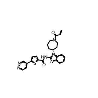 C=CC(=O)N1CCC[C@@H](n2c(NC(=O)c3ccc(-c4ccnnc4)s3)nc3ccccc32)CC1